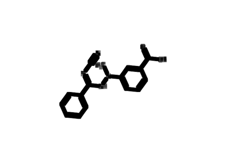 CN(NC(=NC#N)c1ccccc1)c1cccc(C(=O)O)c1